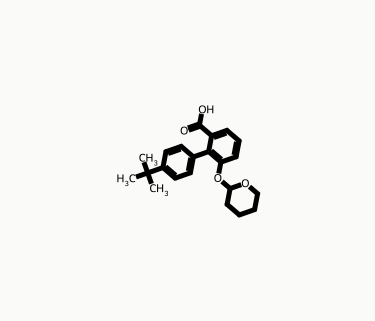 CC(C)(C)c1ccc(-c2c(OC3CCCCO3)cccc2C(=O)O)cc1